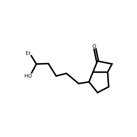 CCC(O)CCCCC1CCC2CC(=O)C12